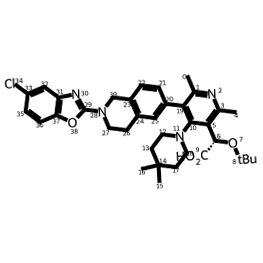 Cc1nc(C)c([C@H](OC(C)(C)C)C(=O)O)c(N2CCC(C)(C)CC2)c1-c1ccc2c(c1)CCN(c1nc3cc(Cl)ccc3o1)C2